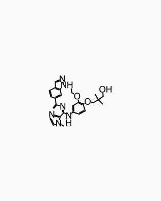 C=C(/N=C(/Nc1ccc(OCC(C)(C)CO)c(OCC)c1)c1nccn1C)c1ccc2cn[nH]c2c1